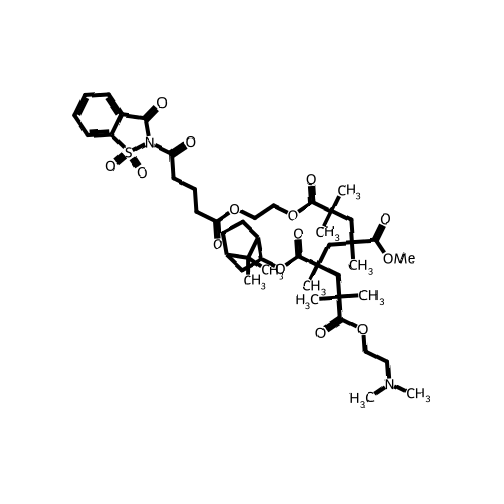 COC(=O)C(C)(CC(C)(C)C(=O)OCCOC(=O)CCCC(=O)N1C(=O)c2ccccc2S1(=O)=O)CC(C)(CC(C)(C)C(=O)OCCN(C)C)C(=O)OC1CC2CCC1C2(C)C